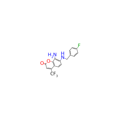 Nc1c(NCc2ccc(F)cc2)ccc2c(C(F)(F)F)cc(=O)oc12